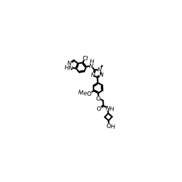 COc1cc(-c2nc(Nc3ccc4[nH]ncc4c3Cl)n(C)n2)ccc1OCC(=O)NC1CC(O)C1